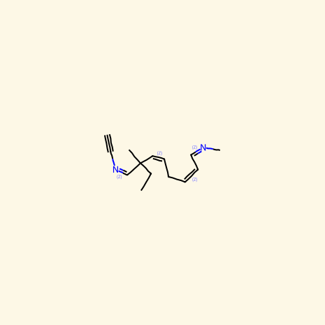 C#C/N=C\C(C)(/C=C\C/C=C\C=N/C)CC